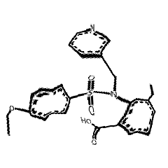 COc1ccc(S(=O)(=O)N(Cc2cccnc2)c2c(C)cccc2C(=O)O)cc1